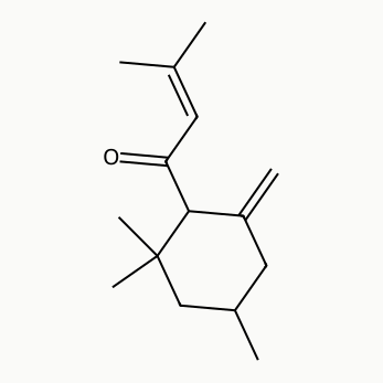 C=C1CC(C)CC(C)(C)C1C(=O)C=C(C)C